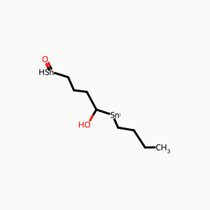 CCC[CH2][Sn][CH](O)CC[CH2][SnH]=[O]